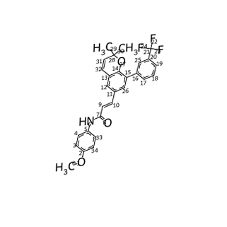 COc1ccc(NC(=O)C=Cc2cc3c(c(-c4cccc(C(F)(F)F)c4)c2)OC(C)(C)C=C3)cc1